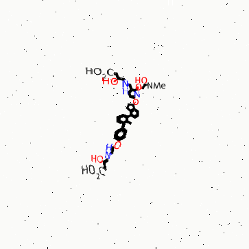 CNC(O)COc1nc(O[C@H]2CCc3c(-c4cccc(-c5ccc(OCCNC[C@@H](O)CC(=O)O)cc5)c4C)cccc32)ccc1CNC[C@@H](O)CC(=O)O